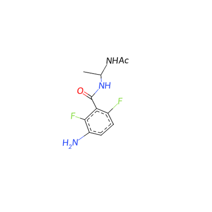 CC(=O)NC(C)NC(=O)c1c(F)ccc(N)c1F